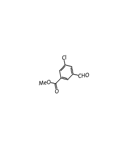 COC(=O)c1cc(Cl)cc(C=O)c1